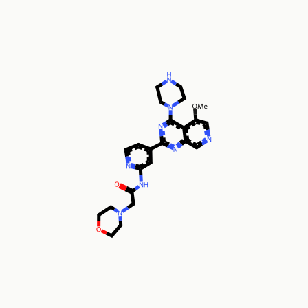 COc1cncc2nc(-c3ccnc(NC(=O)CN4CCOCC4)c3)nc(N3CCNCC3)c12